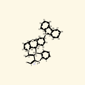 C/C=C1/Sc2ccccc2B2C1=C(C)n1ccc3cc4cc(-n5c6ccccc6c6ccccc65)ccc4c2c31